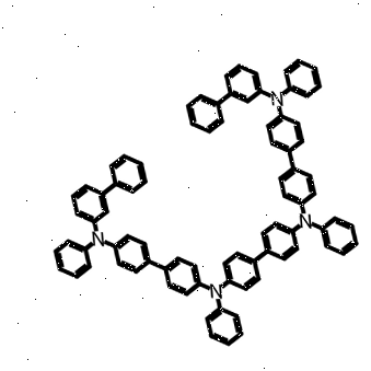 c1ccc(-c2cccc(N(c3ccccc3)c3ccc(-c4ccc(N(c5ccccc5)c5ccc(-c6ccc(N(c7ccccc7)c7ccc(-c8ccc(N(c9ccccc9)c9cccc(-c%10ccccc%10)c9)cc8)cc7)cc6)cc5)cc4)cc3)c2)cc1